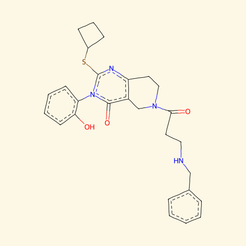 O=C(CCNCc1ccccc1)N1CCc2nc(SC3CCC3)n(-c3ccccc3O)c(=O)c2C1